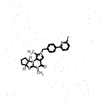 Cc1c2c(cn1Cc1ccc(-c3cccc(F)n3)cc1)C(=O)N(C)C1=N[C@@H]3CCC[C@@H]3N12